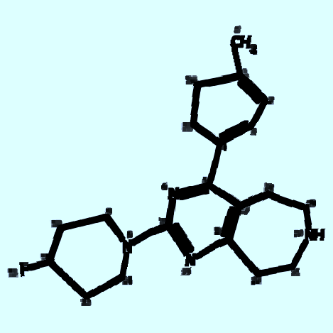 CC1=CC=C(c2nc(N3CCC(F)CC3)nc3c2CCNCC3)CC1